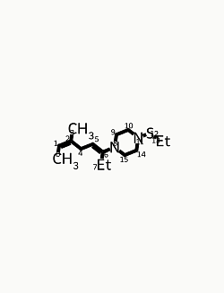 C/C=C(/C)C/C=C(\CC)N1CCN(SCC)CC1